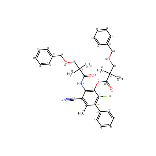 Cc1c(C#N)c(NC(=O)C(C)(C)COCc2ccccc2)c(OC(=O)C(C)(C)COCc2ccccc2)c(F)c1-c1ccccc1